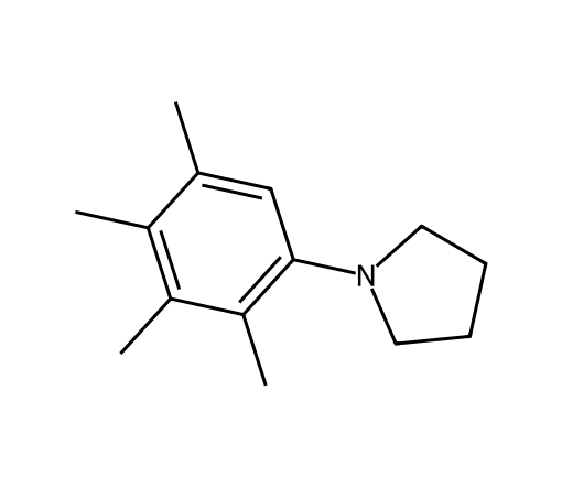 Cc1cc(N2CCCC2)c(C)c(C)c1C